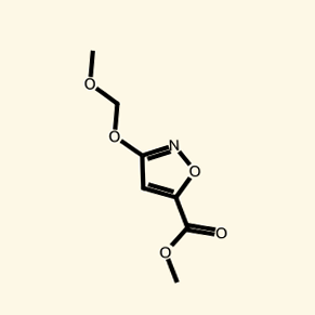 COCOc1cc(C(=O)OC)on1